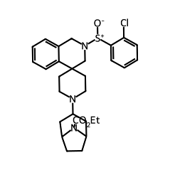 CCOC(=O)N1C2CCC1CC(N1CCC3(CC1)CN([S+]([O-])c1ccccc1Cl)Cc1ccccc13)C2